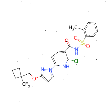 Cc1ccccc1S(=O)(=O)NC(=O)C1=CC=C(n2ccc(OCC3(C(F)(F)F)CCC3)n2)NC1Cl